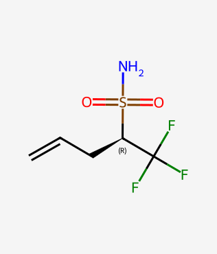 C=CC[C@H](C(F)(F)F)S(N)(=O)=O